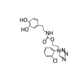 O=C(NCCc1ccc(O)c(O)c1)OCC[N+]1(c2ccccc2Cl)C=NN=N1